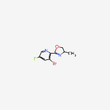 CC1COC(c2ncc(F)cc2Br)=N1